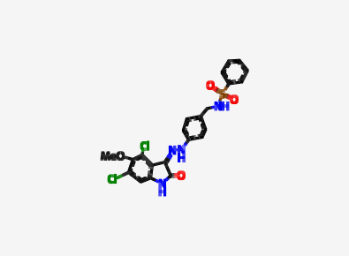 COc1c(Cl)cc2c(c1Cl)C(=NNc1ccc(CNS(=O)(=O)c3ccccc3)cc1)C(=O)N2